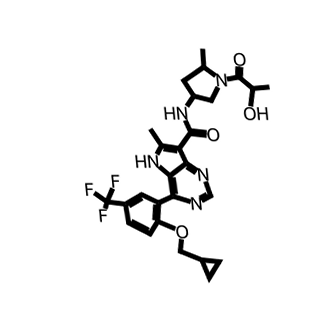 Cc1[nH]c2c(-c3cc(C(F)(F)F)ccc3OCC3CC3)ncnc2c1C(=O)NC1CC(C)N(C(=O)C(C)O)C1